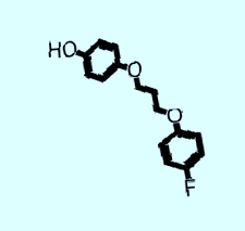 Oc1ccc(OCCCOc2ccc(F)cc2)cc1